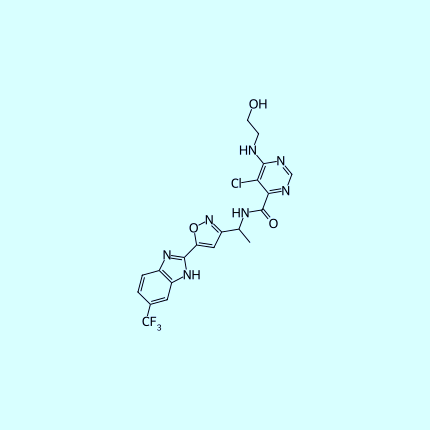 CC(NC(=O)c1ncnc(NCCO)c1Cl)c1cc(-c2nc3ccc(C(F)(F)F)cc3[nH]2)on1